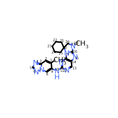 Cc1cc2ncnn2cc1Nc1ncc2nc3n(c2n1)C1(CCCCC1)CN3C